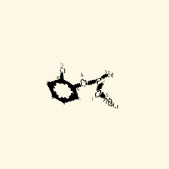 CCCCOP(CC)Oc1ccccc1Cl